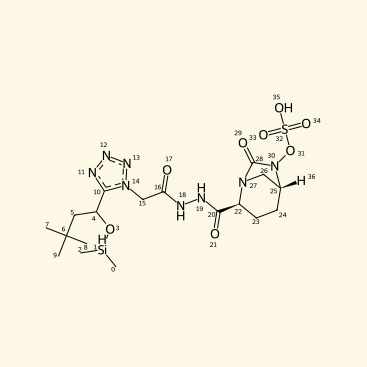 C[SiH](C)OC(CC(C)(C)C)c1nnnn1CC(=O)NNC(=O)[C@@H]1CC[C@@H]2CN1C(=O)N2OS(=O)(=O)O